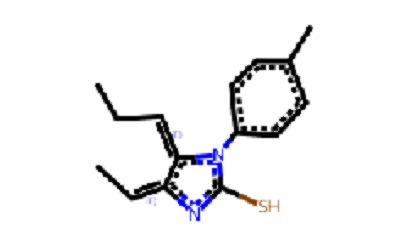 C/C=c1/nc(S)n(-c2ccc(C)cc2)/c1=C/CC